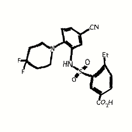 CCc1ccc(C(=O)O)cc1S(=O)(=O)Nc1cc(C#N)ccc1N1CCC(F)(F)CC1